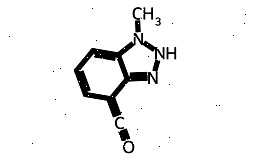 CN1NN=c2c1cccc2=C=O